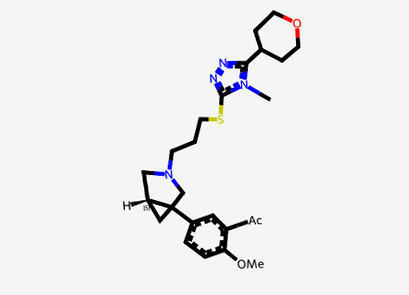 COc1ccc(C23C[C@@H]2CN(CCCSc2nnc(C4CCOCC4)n2C)C3)cc1C(C)=O